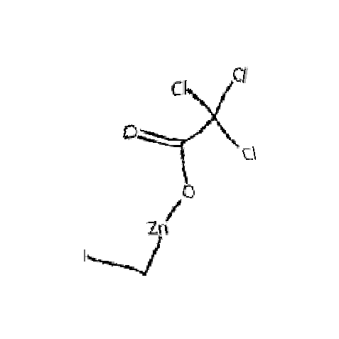 O=C([O][Zn][CH2]I)C(Cl)(Cl)Cl